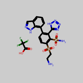 NCCS(=O)(=O)c1ccc(-c2cccc3cn[nH]c23)c(-c2nnn[nH]2)c1S(N)(=O)=O.O=C(O)C(F)(F)F